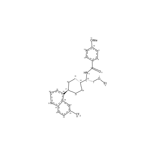 CCOC[C@@H](NC(=O)c1ccc(OC)nc1)[C@H]1CC[C@H](c2ccnc3ccc(C(F)(F)F)cc32)CC1